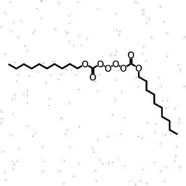 CCCCCCCCCCOC(=O)OOOOC(=O)OCCCCCCCCCC